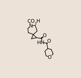 O=C(NC(=O)C1CC12CCN(C(=O)O)CC2)C1CCOCC1